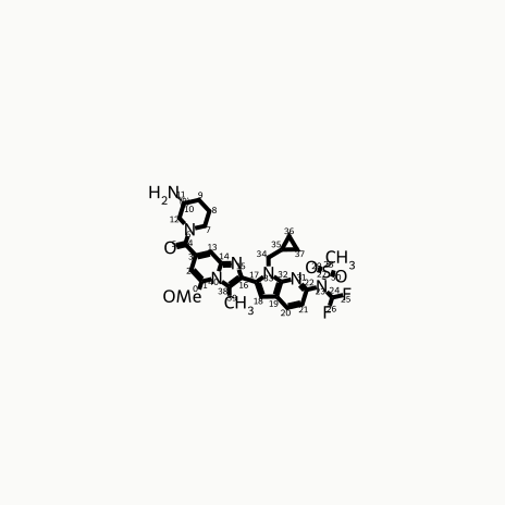 COc1cc(C(=O)N2CCC[C@@H](N)C2)cc2nc(-c3cc4ccc(N(C(F)F)S(C)(=O)=O)nc4n3CC3CC3)c(C)n12